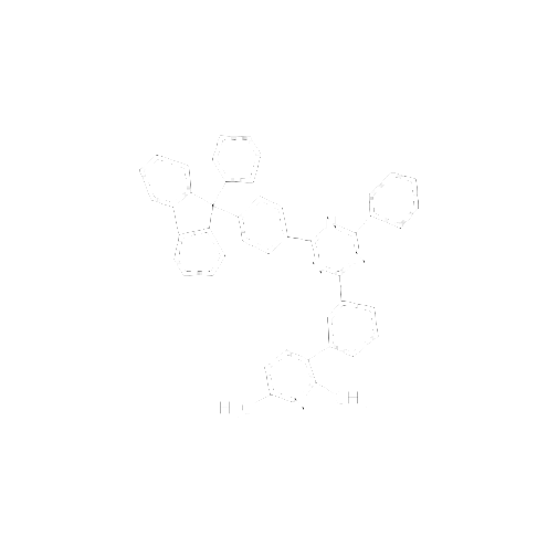 Cc1ccc(-c2cccc(-c3nc(-c4ccccc4)nc(-c4ccc(C5(c6ccccc6)c6ccccc6-c6ccccc65)cc4)n3)c2)c(C)n1